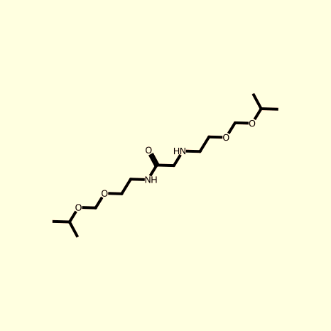 CC(C)OCOCCNCC(=O)NCCOCOC(C)C